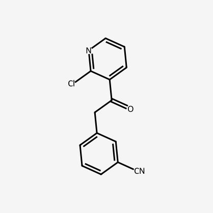 N#Cc1cccc(CC(=O)c2cccnc2Cl)c1